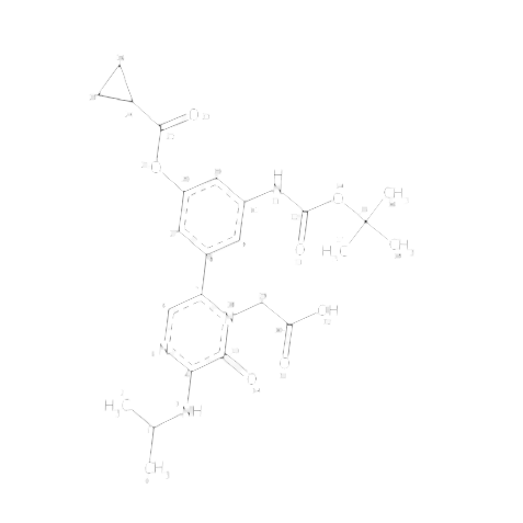 CC(C)Nc1ncc(-c2cc(NC(=O)OC(C)(C)C)cc(OC(=O)C3CC3)c2)n(CC(=O)O)c1=O